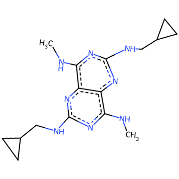 CNc1nc(NCC2CC2)nc2c(NC)nc(NCC3CC3)nc12